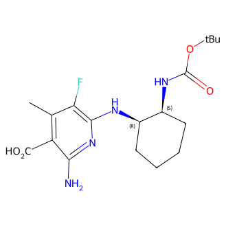 Cc1c(F)c(N[C@@H]2CCCC[C@@H]2NC(=O)OC(C)(C)C)nc(N)c1C(=O)O